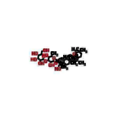 C[C@@H]1C[C@]2(C)[C@@]3(C=C[C@@H]4[C@@]5(C)CC[C@H](O[C@@H]6O[C@H](C)[C@H](O)[C@H](O[C@@H]7OC(CO)[C@@H](O)[C@@H](O)C7O)[C@H]6O)[C@@](C)(CO)[C@@H]5CC[C@]42C)OC[C@@]12CCC(C)(C)C[C@H]23